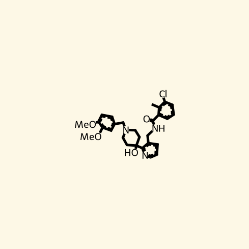 COc1ccc(CN2CCC(O)(c3ncccc3CNC(=O)c3cccc(Cl)c3C)CC2)cc1OC